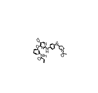 C=CC(=O)Nc1cccc(Oc2nc(Nc3ccc(N(C)C4CCN(C(C)=O)C4)cc3)ncc2OC)c1